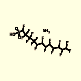 N.O=S(=O)(O)C(F)C(F)(F)C(F)(F)C(F)(F)C(F)C(F)C(F)C(F)C(F)C(F)C(F)C(F)F